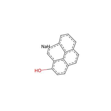 Oc1ccc2ccc3cccc4ccc1c2c34.[NaH]